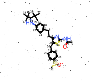 CC(=O)Nc1nc(CCc2ccc(NC(C(C)(C)C)C(C)(C)C)cc2)c(Cc2ccc([S+](C)[O-])cc2)s1